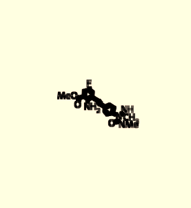 CNC(=O)N(C(C)=N)c1ccc(C#Cc2cc(F)cc(C(=O)OC)c2N)cc1